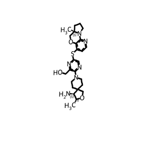 C[C@@H]1OCC2(CCN(c3ncc(Sc4ccnc5c4OC[C@]4(C)CCCN54)nc3CO)CC2)[C@@H]1N